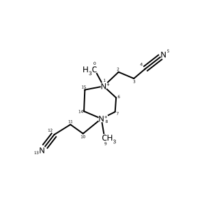 C[N+]1(CCC#N)CC[N+](C)(CCC#N)CC1